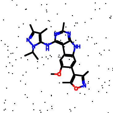 COc1cc2c(cc1-c1c(C)noc1C)[nH]c1nc(C)nc(Nc3c(C)c(C)nn3C(C)C)c12